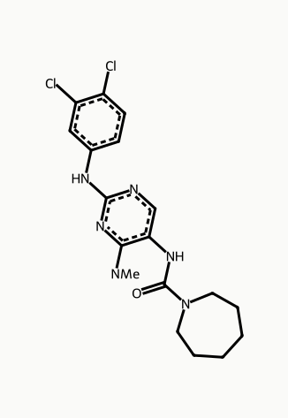 CNc1nc(Nc2ccc(Cl)c(Cl)c2)ncc1NC(=O)N1CCCCCC1